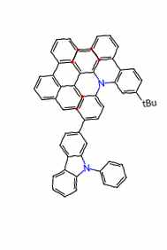 CC(C)(C)c1ccc(-c2ccccc2)c(N(c2ccc(-c3ccc4c5ccccc5n(-c5ccccc5)c4c3)cc2)c2ccccc2-c2cccc3cccc(-c4ccccc4)c23)c1